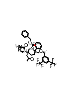 CC(=O)C[C@]1(n2cn[nH]c2=O)CC[C@@](CO[C@H](C)c2cc(C(F)(F)F)cc(C(F)(F)F)c2)(c2ccccc2)N(C(=O)OCc2ccccc2)C1